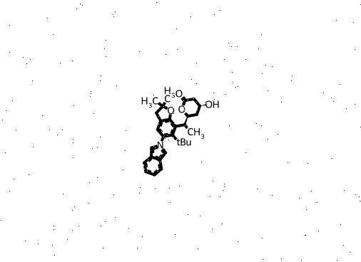 CC(c1c2c(cc(-n3cc4ccccc4c3)c1C(C)(C)C)CC(C)(C)O2)[C@@H]1C[C@@H](O)CC(=O)O1